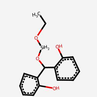 CCO[SiH2]OC(c1ccccc1O)c1ccccc1O